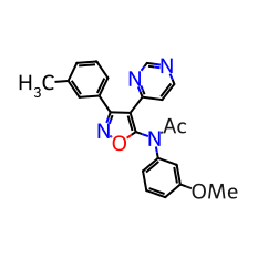 COc1cccc(N(C(C)=O)c2onc(-c3cccc(C)c3)c2-c2ccncn2)c1